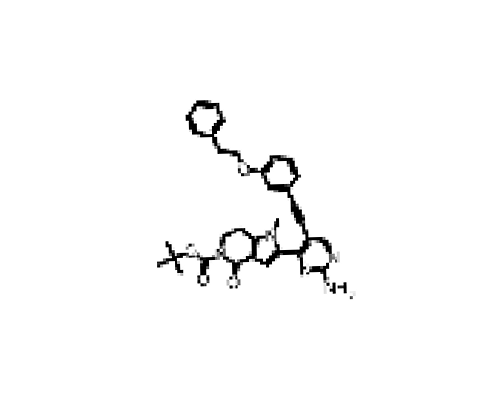 Cn1c(-c2nc(N)ncc2C#Cc2cccc(OCCc3ccccc3)c2)cc2c1CCN(C(=O)OC(C)(C)C)C2=O